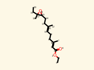 CCOC(=O)/C=C(\C)CC/C=C(\C)CCC1OC1(C)CC